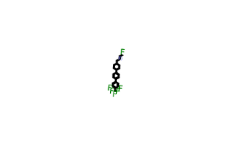 FC/C=C/CC1CCC(c2ccc(-c3cc(F)c(C(F)(F)F)c(F)c3)cc2)CC1